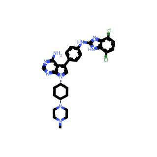 CN1CCN([C@H]2CC[C@@H](n3cc(-c4ccc(Nc5nc6c(Cl)ccc(Cl)c6[nH]5)cc4)c4c(N)ncnc43)CC2)CC1